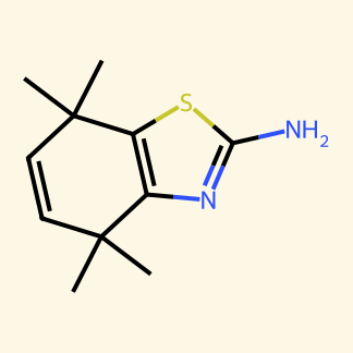 CC1(C)C=CC(C)(C)c2sc(N)nc21